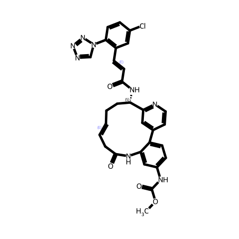 COC(=O)Nc1ccc2c(c1)NC(=O)C/C=C/CC[C@H](NC(=O)/C=C/c1cc(Cl)ccc1-n1cnnn1)c1cc-2ccn1